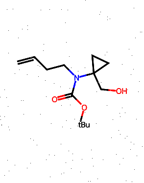 C=CCCN(C(=O)OC(C)(C)C)C1(CO)CC1